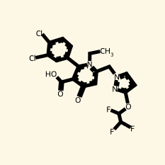 CCn1c(Cn2ccc(OC(F)C(F)F)n2)cc(=O)c(C(=O)O)c1-c1ccc(Cl)c(Cl)c1